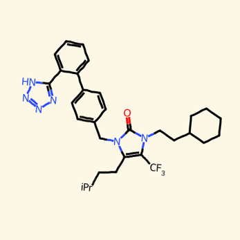 CC(C)CCc1c(C(F)(F)F)n(CCC2CCCCC2)c(=O)n1Cc1ccc(-c2ccccc2-c2nnn[nH]2)cc1